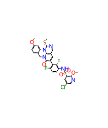 COc1ccc(Cn2c(=O)c(-c3c(F)ccc(NS(=O)(=O)c4cc(Cl)cnc4OC)c3F)cc3cnc(SC)nc32)cc1